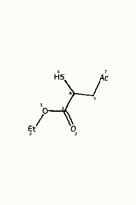 CCOC(=O)C(S)CC(C)=O